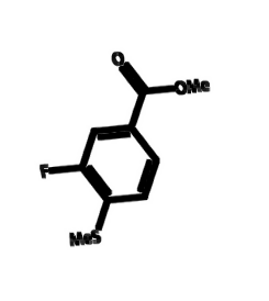 COC(=O)c1ccc(SC)c(F)c1